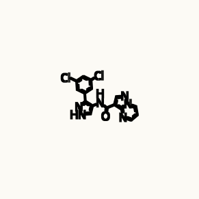 O=C(Nc1c[nH]nc1-c1cc(Cl)cc(Cl)c1)c1cnn2cccnc12